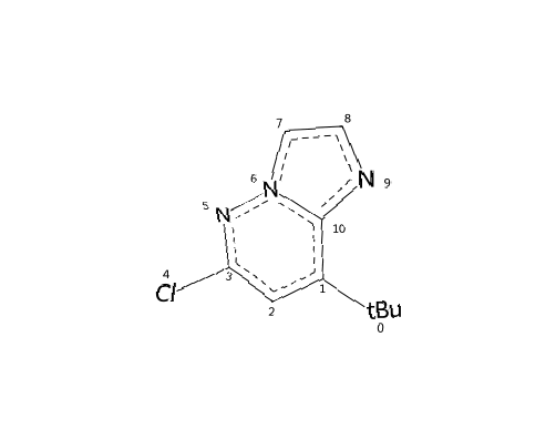 CC(C)(C)c1cc(Cl)nn2ccnc12